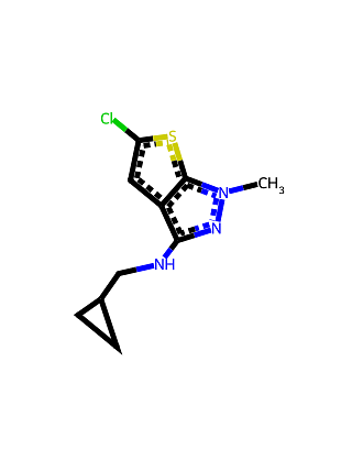 Cn1nc(NCC2CC2)c2cc(Cl)sc21